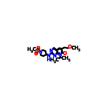 COCCc1cc2cnc(NC3CCN(S(C)(=O)=O)CC3)nc2n(C(C)C)c1=O